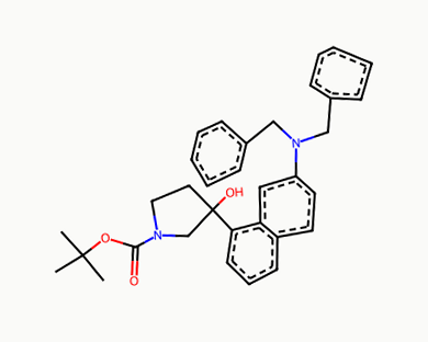 CC(C)(C)OC(=O)N1CCC(O)(c2cccc3ccc(N(Cc4ccccc4)Cc4ccccc4)cc23)C1